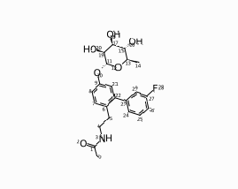 CC(=O)NCCc1ccc(O[C@H]2O[C@H](C)[C@@H](O)[C@H](O)[C@@H]2O)cc1-c1cccc(F)c1